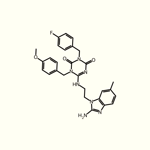 COc1ccc(Cn2c(NCCn3c(N)nc4ccc(C)cc43)nc(=O)n(Cc3ccc(F)cc3)c2=O)cc1